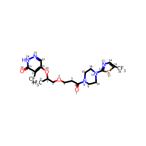 CC(COCCC(=O)N1CCN(c2ncc(C(F)(F)F)s2)CC1)Oc1cn[nH]c(=O)c1C(F)(F)F